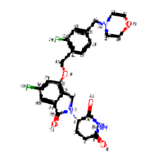 O=C1CC[C@H](N2Cc3c(OCc4ccc(CN5CCOCC5)cc4F)cc(F)cc3C2=O)C(=O)N1